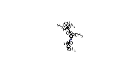 COc1cc(/C=C/C(=O)NC2CCC(C)CC2)ccc1OC(=O)CNC(=O)OC(C)(C)C